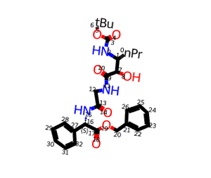 CCCC(NC(=O)OC(C)(C)C)C(O)C(=O)NCC(=O)N[C@H](C(=O)OCc1ccccc1)c1ccccc1